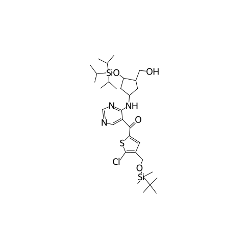 CC(C)[Si](OC1CC(Nc2ncncc2C(=O)c2cc(CO[Si](C)(C)C(C)(C)C)c(Cl)s2)CC1CO)(C(C)C)C(C)C